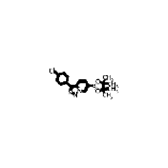 CC1(C)OB(c2ccc3c(-c4ccc(Cl)cc4)nnn3c2)OC1(C)C